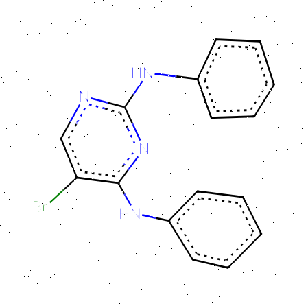 Brc1cnc(Nc2ccccc2)nc1Nc1ccccc1